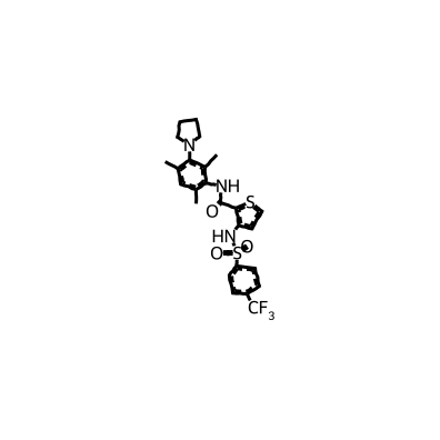 Cc1cc(C)c(N2CCCC2)c(C)c1NC(=O)c1sccc1NS(=O)(=O)c1ccc(C(F)(F)F)cc1